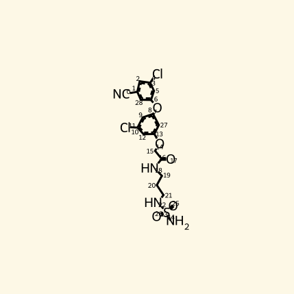 N#Cc1cc(Cl)cc(Oc2cc(Cl)cc(OCC(=O)NCCCNS(N)(=O)=O)c2)c1